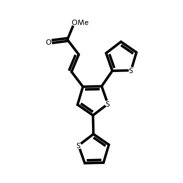 COC(=O)/C=C/c1cc(-c2cccs2)sc1-c1cccs1